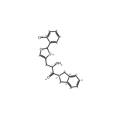 NC(CC1=COC(c2ccccc2Cl)O1)C(=O)N1Cc2ccccc2C1